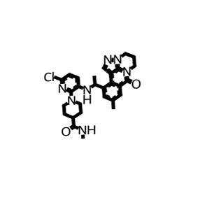 CNC(=O)C1CCN(c2nc(Cl)ccc2NC(C)c2cc(C)cc3c(=O)n4c5c(cnn5CCC4)c23)CC1